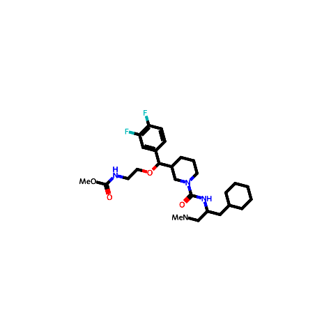 CNCC(CC1CCCCC1)NC(=O)N1CCCC(C(OCCNC(=O)OC)c2ccc(F)c(F)c2)C1